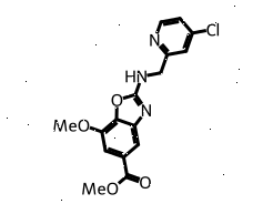 COC(=O)c1cc(OC)c2oc(NCc3cc(Cl)ccn3)nc2c1